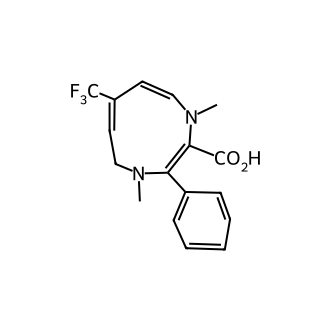 CN1/C=C\C(C(F)(F)F)=C/CN(C)/C(c2ccccc2)=C\1C(=O)O